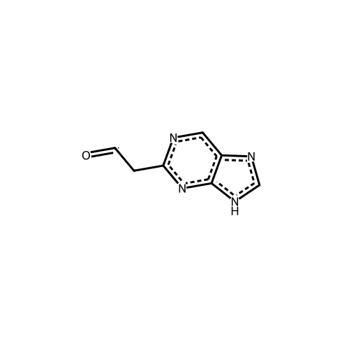 O=[C]Cc1ncc2nc[nH]c2n1